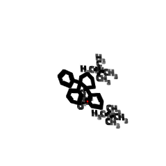 C[N+](C)(C)C.C[N+](C)(C)C.[O-]B([O-])OC1(c2ccccc2)CCCCC1(c1ccccc1)c1ccccc1